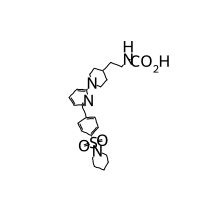 O=C(O)NCCC1CCN(c2cccc(-c3ccc(S(=O)(=O)N4CCCCC4)cc3)n2)CC1